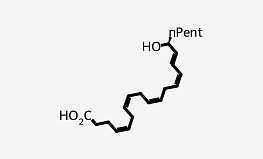 CCCCC[C@H](O)/C=C/C=C\C/C=C\C/C=C\C/C=C\CCC(=O)O